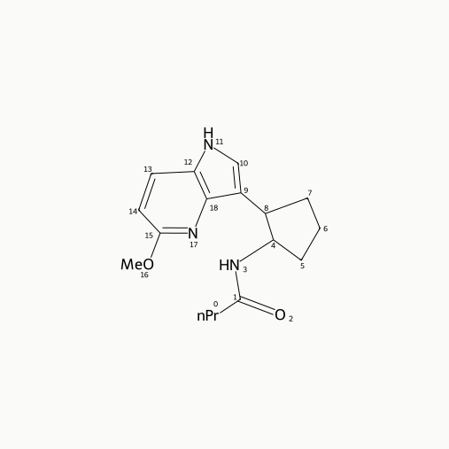 CCCC(=O)NC1CCCC1c1c[nH]c2ccc(OC)nc12